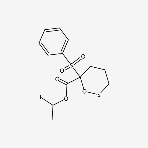 CC(I)OC(=O)C1(S(=O)(=O)c2ccccc2)CCCSO1